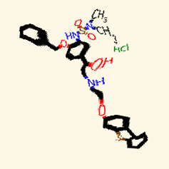 CN(C)S(=O)(=O)Nc1cc(C(O)CNCCOc2ccc3c(c2)sc2ccccc23)ccc1OCc1ccccc1.Cl